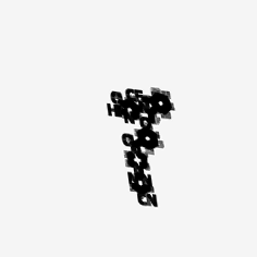 N#Cc1cnc(N2CCN(C(=O)c3cccc(OCC4c5ccccc5CN4c4cn[nH]c(=O)c4C(F)(F)F)c3)CC2)nc1